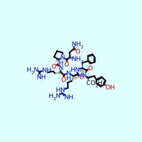 N=C(N)NCCC[C@H](NC(=O)[C@H](CCCNC(=N)N)NC(=O)[C@@H]1CCCN1C(=O)[C@@H](N)CC(N)=O)C(=O)N[C@@H](Cc1ccccc1)C(=O)N[C@@H](Cc1ccc(O)cc1)C(=O)O